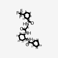 O=C(CNC(=O)c1cccc(C(F)(F)F)c1)NC1CCCCC1NC(=O)c1ccccc1